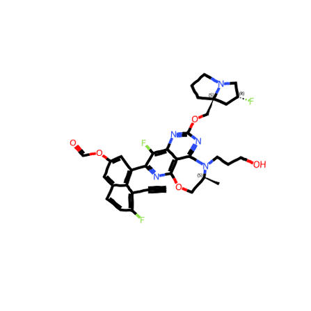 C#Cc1c(F)ccc2cc(OC=O)cc(-c3nc4c5c(nc(OC[C@@]67CCCN6C[C@H](F)C7)nc5c3F)N(CCCO)[C@@H](C)CO4)c12